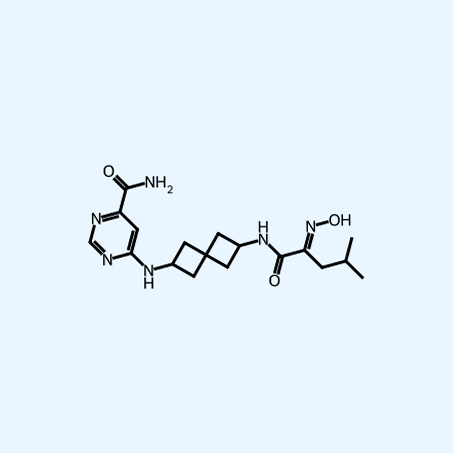 CC(C)CC(=NO)C(=O)NC1CC2(C1)CC(Nc1cc(C(N)=O)ncn1)C2